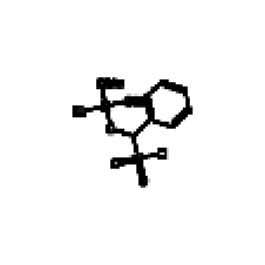 CC[Si](OC)(OC)OC(c1ccccc1)S(=O)(=O)Cl